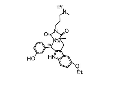 CCOc1ccc2[nH]c3c(c2c1)C[C@@]1(C)C(=O)N(CCCN(C)C(C)C)C(=O)N1[C@@H]3c1cccc(O)c1